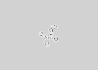 c1ccc(-c2nc(-c3ccc4sc5ccccc5c4c3)nc(-n3c4cc5ccccc5cc4c4cc5ccccc5cc43)n2)cc1